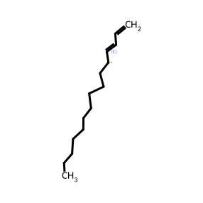 C=C/C=C/[CH]CCCCCCCCCC